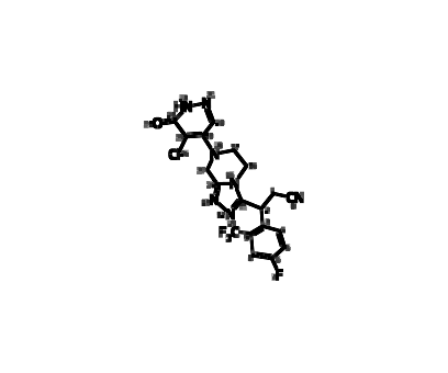 N#CCC(c1ccc(F)cc1C(F)(F)F)c1nnc2n1CCN(c1cn[nH]c(=O)c1Cl)C2